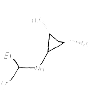 CCC(CC)NC1[C@@H](CC)[C@H]1C